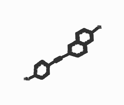 CCCCc1ccc(C#Cc2ccc3cc(CC)ccc3c2)cc1